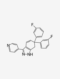 Fc1cccc(C2(c3cccc(F)c3)C=Cc3c(-c4ccncc4)n[nH]c3C2)c1